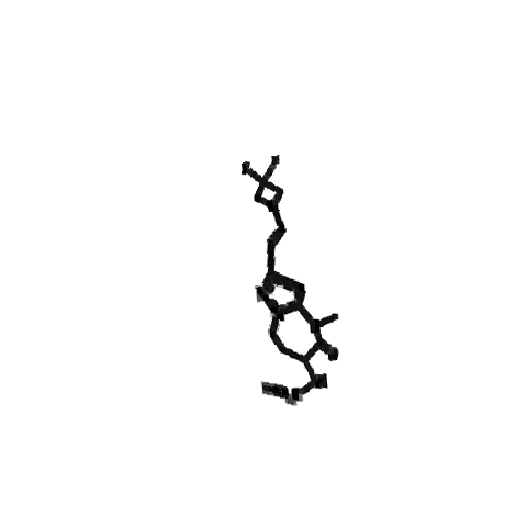 CN1C(=O)C(NC(=O)O)CCn2nc(CCN3CC(F)(F)C3)cc21